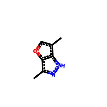 Cc1coc2c(C)n[nH]c12